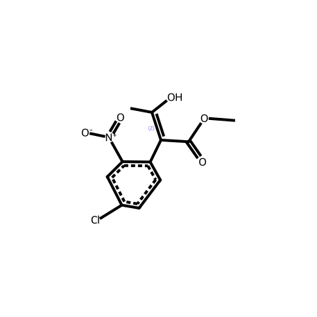 COC(=O)/C(=C(/C)O)c1ccc(Cl)cc1[N+](=O)[O-]